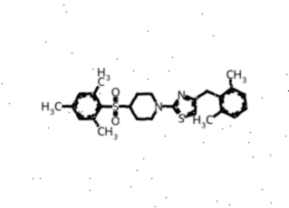 Cc1cc(C)c(S(=O)(=O)C2CCN(c3nc(Cc4c(C)cccc4C)cs3)CC2)c(C)c1